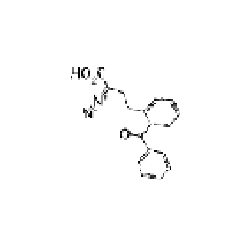 [N-]=[N+]=C(CCc1ccccc1C(=O)c1ccccc1)C(=O)O